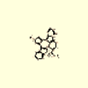 Cn1cc(-c2cn(O)cc2-c2c3c(n4ccccc24)CCC(CN)C3)c2ccccc21